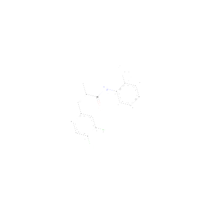 CC(=Cc1ccc(Cl)c(Cl)c1)C(=O)Nc1ccccc1C(=O)O